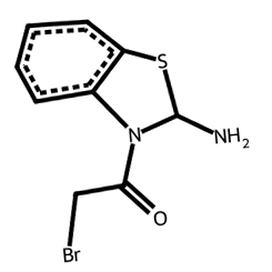 NC1Sc2ccccc2N1C(=O)CBr